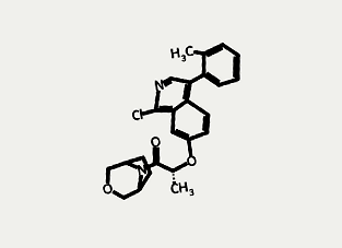 Cc1ccccc1-c1cnc(Cl)c2cc(O[C@H](C)C(=O)N3C4CCC3COC4)ccc12